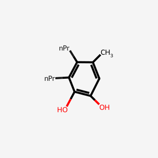 CCCc1c(C)cc(O)c(O)c1CCC